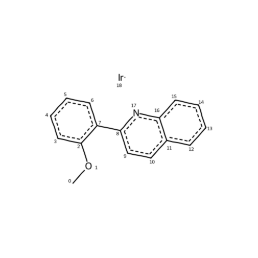 COc1ccccc1-c1ccc2ccccc2n1.[Ir]